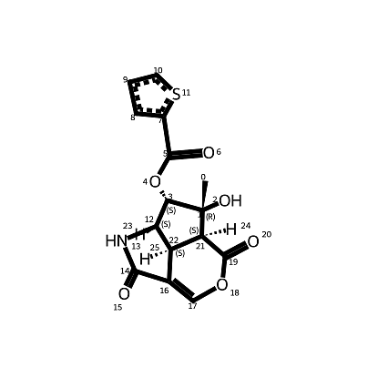 C[C@]1(O)[C@@H](OC(=O)c2cccs2)[C@H]2NC(=O)C3=COC(=O)[C@H]1[C@@H]32